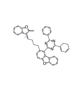 C=c1oc2ccccc2/c1=C/CCCc1ccc2oc3ccccc3c2c1-c1nc(C2=CC=CCC2)nc(-c2ccccc2)n1